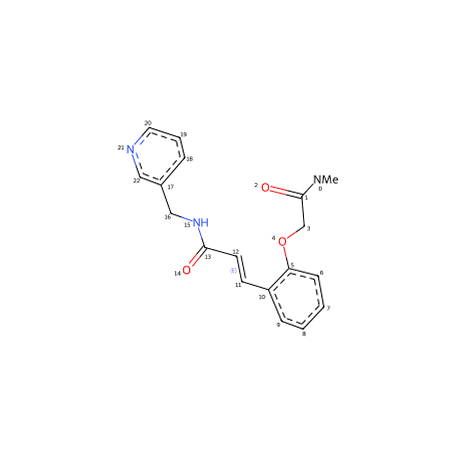 CNC(=O)COc1ccccc1/C=C/C(=O)NCc1cccnc1